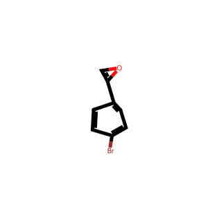 Brc1ccc(C2=CO2)cc1